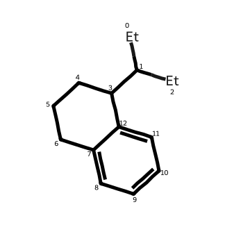 CCC(CC)C1CCCc2ccccc21